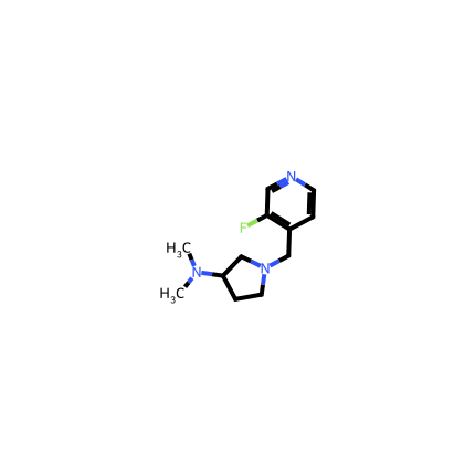 CN(C)C1CCN(Cc2ccncc2F)C1